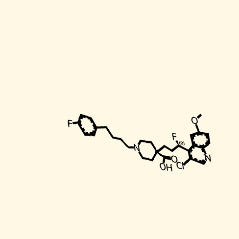 COc1ccc2ncc(Cl)c([C@H](F)CCC3(C(=O)O)CCN(CCCCc4ccc(F)cc4)CC3)c2c1